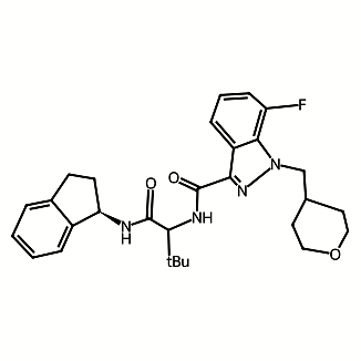 CC(C)(C)C(NC(=O)c1nn(CC2CCOCC2)c2c(F)cccc12)C(=O)N[C@@H]1CCc2ccccc21